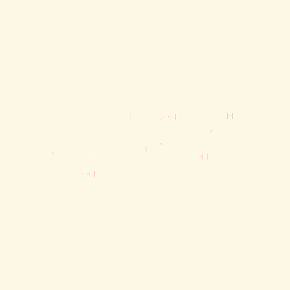 C=CC(O)(C/C=C/[C@H]1[C@H]2CC(CCCCc3ccccc3C(=O)O)=C[C@H]2C[C@H]1O)CCCC